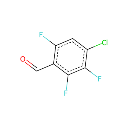 O=Cc1c(F)cc(Cl)c(F)c1F